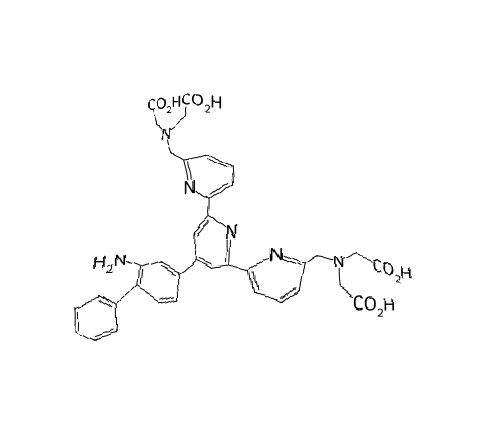 Nc1cc(-c2cc(-c3cccc(CN(CC(=O)O)CC(=O)O)n3)nc(-c3cccc(CN(CC(=O)O)CC(=O)O)n3)c2)ccc1-c1ccccc1